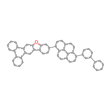 c1ccc(-c2cccc(-c3ccc4ccc5c(-c6ccc7c(c6)oc6cc8c9ccccc9c9ccccc9c8cc67)ccc6ccc3c4c65)c2)cc1